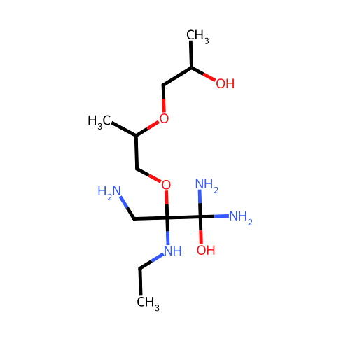 CCNC(CN)(OCC(C)OCC(C)O)C(N)(N)O